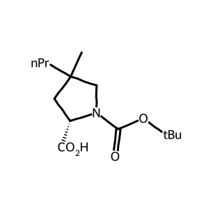 CCCC1(C)C[C@@H](C(=O)O)N(C(=O)OC(C)(C)C)C1